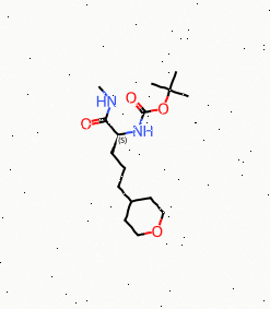 CNC(=O)[C@H](CCCC1CCOCC1)NC(=O)OC(C)(C)C